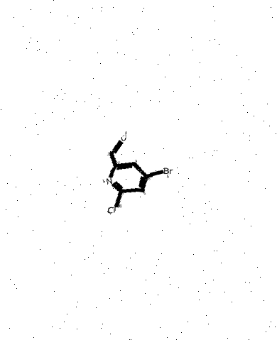 O=Cc1cc(Br)cc(Cl)n1